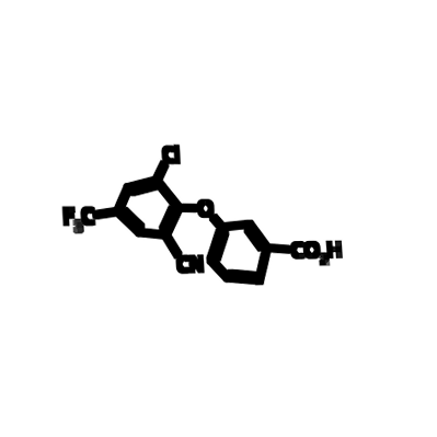 N#Cc1cc(C(F)(F)F)cc(Cl)c1Oc1cccc(C(=O)O)c1